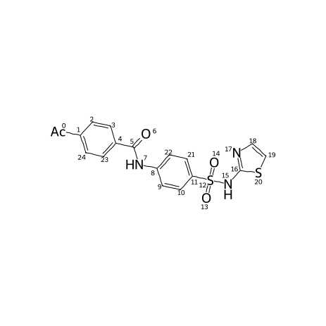 CC(=O)c1ccc(C(=O)Nc2ccc(S(=O)(=O)Nc3nccs3)cc2)cc1